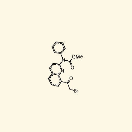 COC(=O)N(c1ccccc1)c1ccc2cccc(C(=O)CBr)c2n1